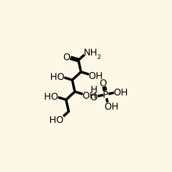 NC(=O)C(O)C(O)C(O)C(O)CO.O=P(O)(O)O